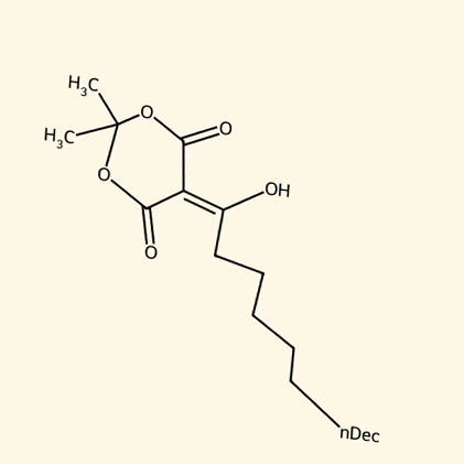 CCCCCCCCCCCCCCCC(O)=C1C(=O)OC(C)(C)OC1=O